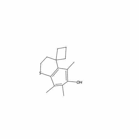 Cc1c(C)c2c(c(C)c1O)C1(CCC1)CCS2